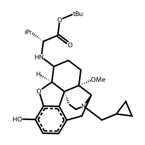 CO[C@@]12CCC(N[C@@H](C(=O)OC(C)(C)C)C(C)C)[C@@H]3Oc4c(O)ccc5c4[C@@]31CCN(CC1CC1)C2C5